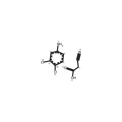 N#CCC(=O)O.Nc1ccc(Cl)c(Cl)c1